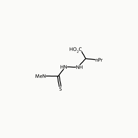 CCCC(NNC(=S)NC)C(=O)O